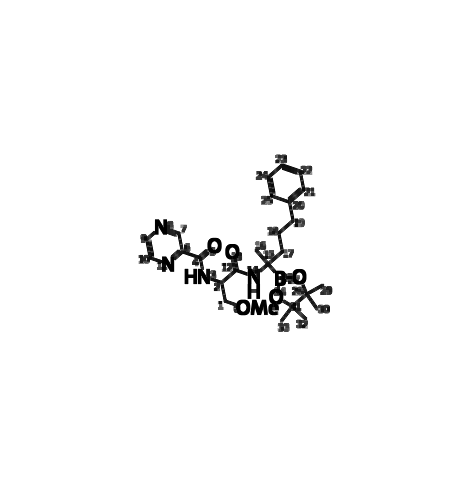 COCC(NC(=O)c1cnccn1)C(=O)NC(C)(CCCc1ccccc1)B1OC(C)(C)C(C)(C)O1